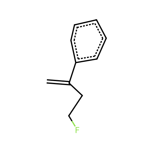 C=C(CCF)c1ccccc1